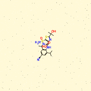 CC(C)c1cc(C#N)cc(C(C)C)c1NC(=O)N=S(N)(=O)c1sc(C(C)(C)O)nc1CO